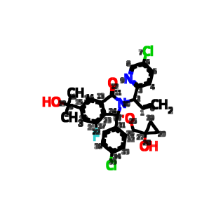 C=CC(c1ccc(Cl)cn1)N1C(=O)c2cc(C(C)(C)O)cc(F)c2[C@]1(OCC1(O)CC1)c1ccc(Cl)cc1